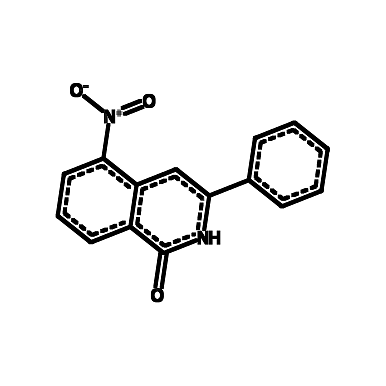 O=c1[nH]c(-c2ccccc2)cc2c([N+](=O)[O-])cccc12